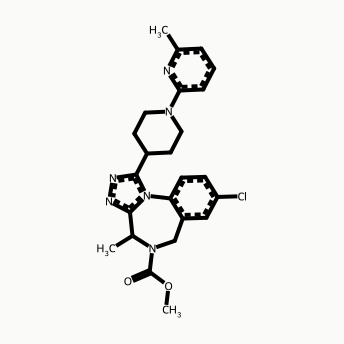 COC(=O)N1Cc2cc(Cl)ccc2-n2c(C3CCN(c4cccc(C)n4)CC3)nnc2C1C